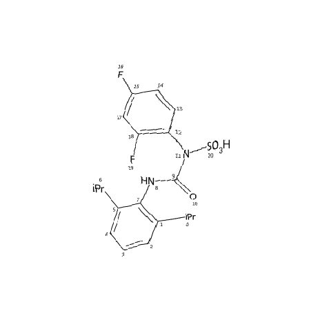 CC(C)c1cccc(C(C)C)c1NC(=O)N(c1ccc(F)cc1F)S(=O)(=O)O